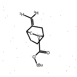 [2H]C([2H])=C1CC2CCC1CN2C(=O)OC(C)(C)C